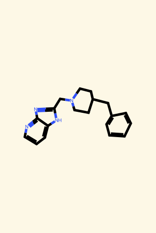 c1ccc(CC2CCN(Cc3nc4ncccc4[nH]3)CC2)cc1